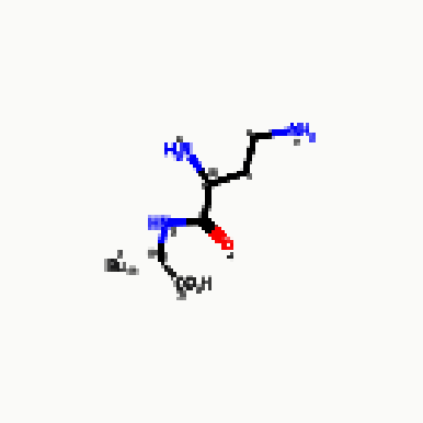 CC[C@H](C)[C@H](NC(=O)[C@@H](N)CCN)C(=O)O